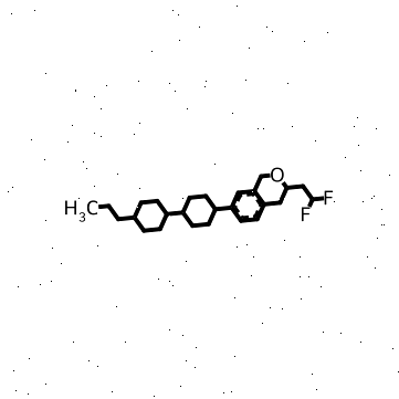 CCCC1CCC(C2CCC(c3ccc4c(c3)COC(CC(F)F)C4)CC2)CC1